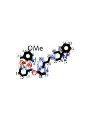 COc1cc(C)c(S(=O)(=O)N2CCCCC2COc2ccnc(C(N)CCN3CCC(c4ccccc4)(N(C)C)CC3)n2)c(C)c1